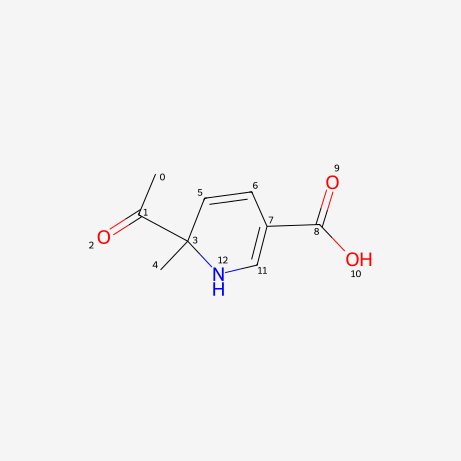 CC(=O)C1(C)C=CC(C(=O)O)=CN1